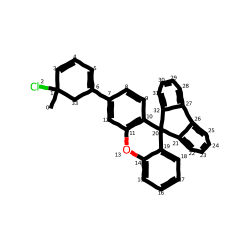 CC1(Cl)C=CC=C(c2ccc3c(c2)Oc2ccccc2C32c3ccccc3-c3ccccc32)C1